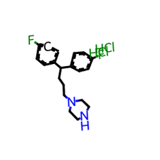 Cl.Cl.Fc1ccc(C(CCCN2CCNCC2)c2ccc(F)cc2)cc1